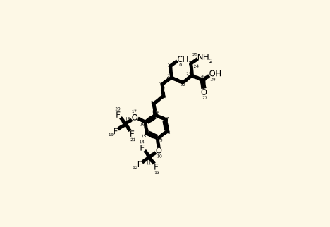 CCC(CCCc1ccc(OC(F)(F)F)cc1OC(F)(F)F)CC(CN)C(=O)O